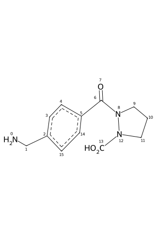 NCc1ccc(C(=O)N2CCCN2C(=O)O)cc1